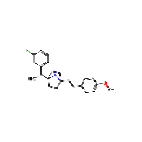 COC1=CCC(CCC23CCC([C@H](C)c4cccc(F)c4)(CC2)N3)C=C1